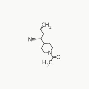 C=CCC(C#N)C1CCN(C(C)=O)CC1